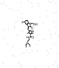 CCN(CC)CCNC(=O)c1c(C)[nH]c(/C=C2\C(=O)N(CO)c3ccc(F)cc32)c1C